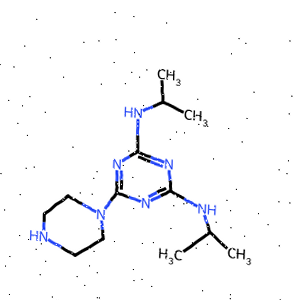 CC(C)Nc1nc(NC(C)C)nc(N2CCNCC2)n1